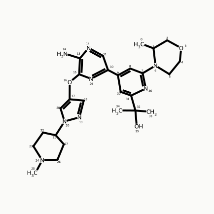 CC1COCCN1c1cc(-c2cnc(N)c(Oc3cnn(C4CCN(C)CC4)c3)n2)cc(C(C)(C)O)n1